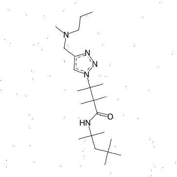 CCCN(C)Cc1cn(C(C)(C)C(C)(C)C(=O)NC(C)(C)CC(C)(C)C)nn1